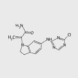 C=C(C(N)=O)N1CCc2ccc(Nc3ncnc(Cl)n3)cc21